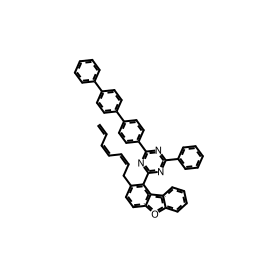 C=C/C=C\C=C/Cc1ccc2oc3ccccc3c2c1-c1nc(-c2ccccc2)nc(-c2ccc(-c3ccc(-c4ccccc4)cc3)cc2)n1